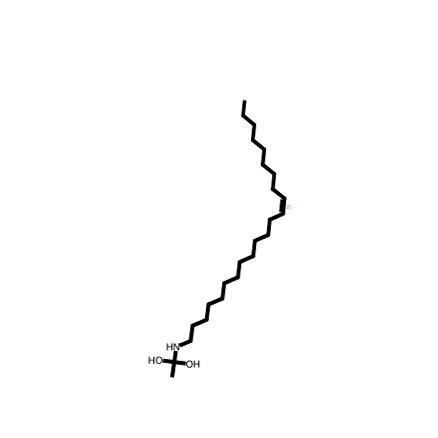 CCCCCCCC/C=C\CCCCCCCCCCCCNC(C)(O)O